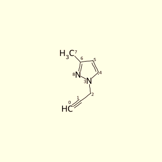 C#CCn1[c]cc(C)n1